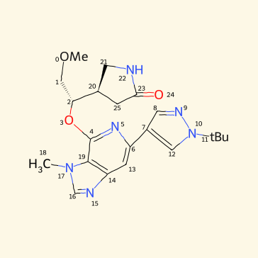 COC[C@@H](Oc1nc(-c2cnn(C(C)(C)C)c2)cc2ncn(C)c12)[C@H]1CNC(=O)C1